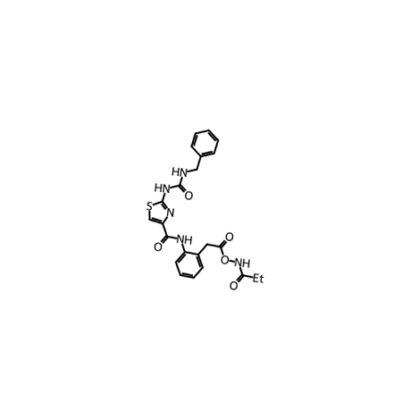 CCC(=O)NOC(=O)Cc1ccccc1NC(=O)c1csc(NC(=O)NCc2ccccc2)n1